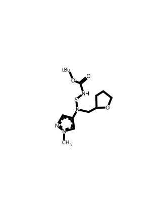 Cn1cc(N(CC2CCCO2)SNC(=O)OC(C)(C)C)cn1